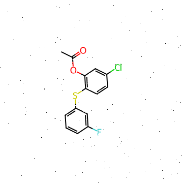 CC(=O)Oc1cc(Cl)ccc1Sc1cccc(F)c1